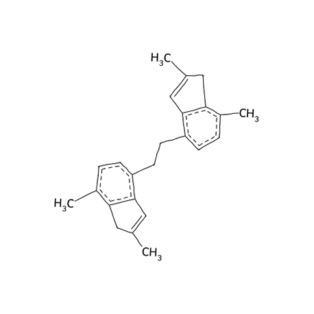 CC1=Cc2c(CCc3ccc(C)c4c3C=C(C)C4)ccc(C)c2C1